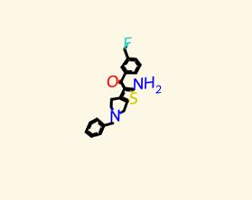 Nc1sc2c(c1C(=O)c1cccc(CF)c1)CCN(Cc1ccccc1)C2